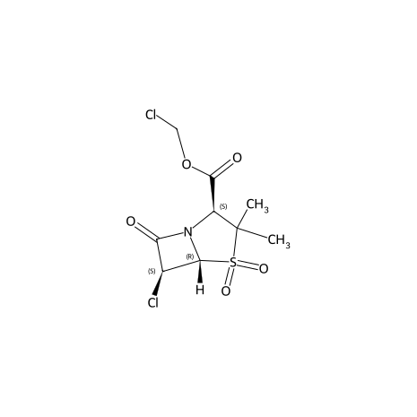 CC1(C)[C@H](C(=O)OCCl)N2C(=O)[C@H](Cl)[C@H]2S1(=O)=O